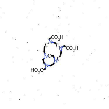 O=C(O)CN1CCCN2CCN(CCCN(CC(=O)O)CC1)CCN(CC(=O)O)CC2